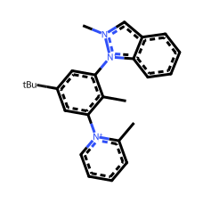 Cc1c(-[n+]2ccccc2C)cc(C(C)(C)C)cc1-[n+]1c2ccccc2cn1C